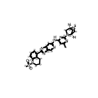 Cc1cc(Nc2cc3nc(-c4cccc5c4CCCN5S(C)(=O)=O)sc3cn2)nc(N2C[C@@H]3C[C@H]2CN3C)n1